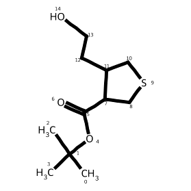 CC(C)(C)OC(=O)C1CSCC1CCO